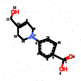 O=C(O)c1ccc(N2CC=C(CO)CC2)cc1